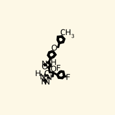 Cc1ccc(COc2ccc(-c3cc([C@H](C)[C@](O)(Cn4cnnn4)c4ccc(F)cc4F)on3)cc2)cc1